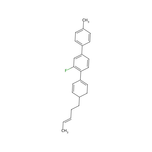 C/C=C/CCC1C=CC(c2ccc(-c3ccc(C)cc3)cc2F)=CC1